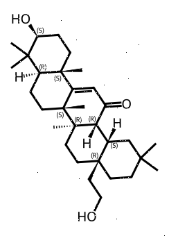 CC1(C)CC[C@]2(CCO)CC[C@]3(C)[C@H](C(=O)C=C4[C@@]5(C)CC[C@H](O)C(C)(C)[C@@H]5CC[C@]43C)[C@@H]2C1